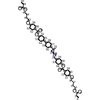 C=CC(=O)OCCCCOc1ccc(C(=O)Oc2ccc(/C=N/N=C(\C)c3ccc(-c4ccc(OC(=O)c5ccc(OCCCCOC(=O)C=C)cc5)cc4)cc3)cc2)cc1